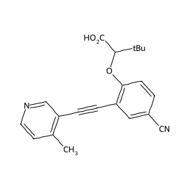 Cc1ccncc1C#Cc1cc(C#N)ccc1OC(C(=O)O)C(C)(C)C